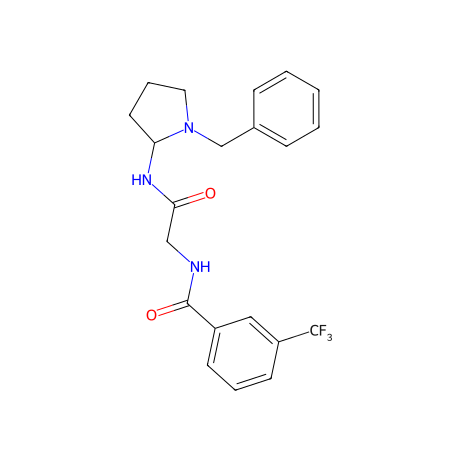 O=C(CNC(=O)c1cccc(C(F)(F)F)c1)NC1CCCN1Cc1ccccc1